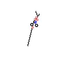 CCCCCCCCCCCCCCCCOc1cccc(-c2cc(OC(=O)OCC(CC)CCCC)nn2-c2ccccc2)c1